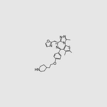 Cc1sc2c(c1C)C(c1ccc(OCCC3CCNCC3)cc1)=N[C@@H](Cc1ncco1)c1nnc(C)n1-2